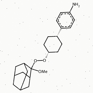 COC1(OO[C@H]2CC[C@@H](c3ccc(N)cc3)CC2)C2CC3CC(C2)CC1C3